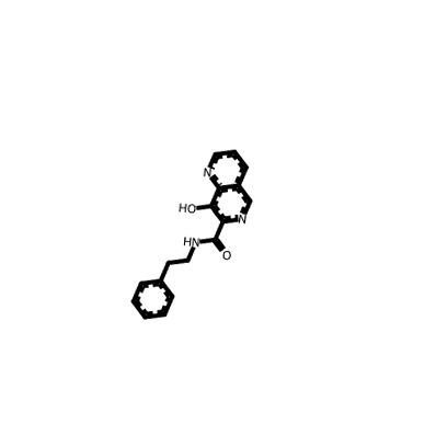 O=C(NCCc1ccccc1)c1ncc2cccnc2c1O